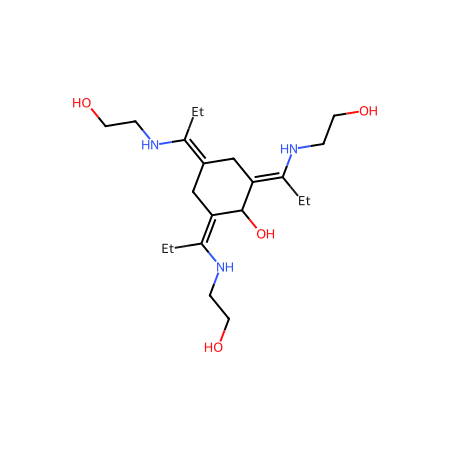 CCC(NCCO)=C1CC(=C(CC)NCCO)C(O)C(=C(CC)NCCO)C1